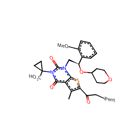 CCCC(C)CC(=O)c1sc2c(c1C)c(=O)n(C1(C(=O)O)CC1)c(=O)n2C[C@H](OC1CCOCC1)c1ccccc1OC